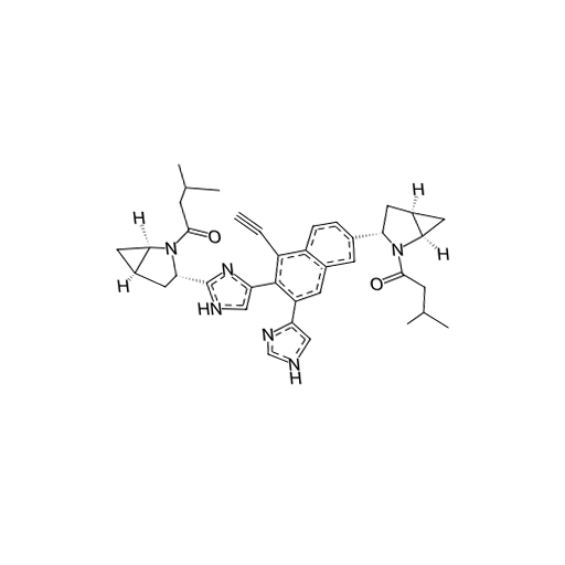 C#Cc1c(-c2c[nH]c([C@@H]3C[C@H]4C[C@H]4N3C(=O)CC(C)C)n2)c(-c2c[nH]cn2)cc2cc([C@@H]3C[C@H]4C[C@H]4N3C(=O)CC(C)C)ccc12